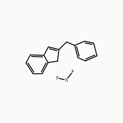 [CH]1C(Cc2ccccc2)=Cc2ccccc21.[F][Ti][F]